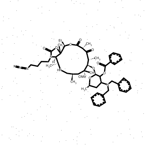 CC[C@H]1OC(=O)[C@H](C)C(=O)[C@H](C)[C@@H](O[C@@H]2O[C@H](C)CC(N(Cc3ccccc3)Cc3ccccc3)C2OC(=O)c2ccccc2)[C@](C)(OC)C[C@@H](C)CN[C@H](C)[C@H]2N(CCCCN=[N+]=[N-])C(=O)O[C@]12C